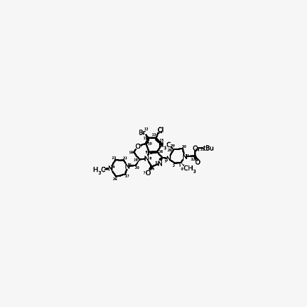 C[C@@H]1CN(c2nc(=O)n3c4c(c(Br)c(Cl)cc24)OC[C@@H]3CN2CCN(C)CC2)[C@@H](C)CN1C(=O)OC(C)(C)C